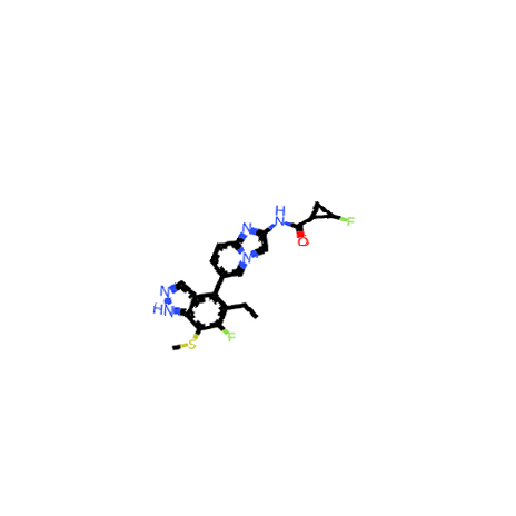 CCc1c(F)c(SC)c2[nH]ncc2c1-c1ccc2nc(NC(=O)C3CC3F)cn2c1